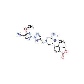 COc1nc(-n2ncc(CN3C[C@@H](c4ccc5c(c4C)COC5=O)N[C@@H](N)C3)n2)ncc1C#N